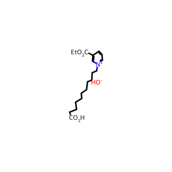 CCOC(=O)c1ccc[n+](CCCCCCCCCCC(=O)O)c1.[OH-]